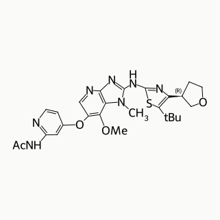 COc1c(Oc2ccnc(NC(C)=O)c2)cnc2nc(Nc3nc([C@H]4CCOC4)c(C(C)(C)C)s3)n(C)c12